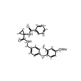 COc1ccc(Oc2ccc(CNC(=O)C3(NC(=O)c4cncnc4)CC3)cc2)c(F)c1